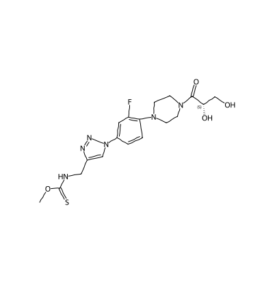 COC(=S)NCc1cn(-c2ccc(N3CCN(C(=O)[C@@H](O)CO)CC3)c(F)c2)nn1